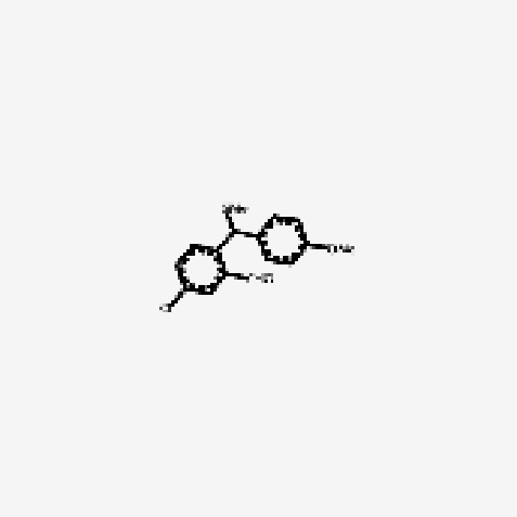 COc1ccc(C(SC)c2ccc(Cl)cc2C=O)cc1